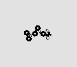 Cc1cn(C)c2cc(-n3c4ccccc4c4cc(-n5c6ccccc6c6ccccc65)ccc43)ccc2c1=O